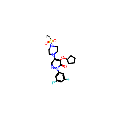 CC(C)S(=O)(=O)N1CCN(c2cnn(-c3cc(F)cc(F)c3)c(=O)c2OC2CCCC2)CC1